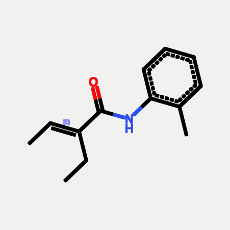 C/C=C(\CC)C(=O)Nc1ccccc1C